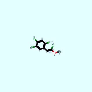 CCO/C(Cl)=C/c1cc(F)c(F)cc1F